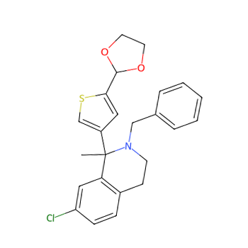 CC1(c2csc(C3OCCO3)c2)c2cc(Cl)ccc2CCN1Cc1ccccc1